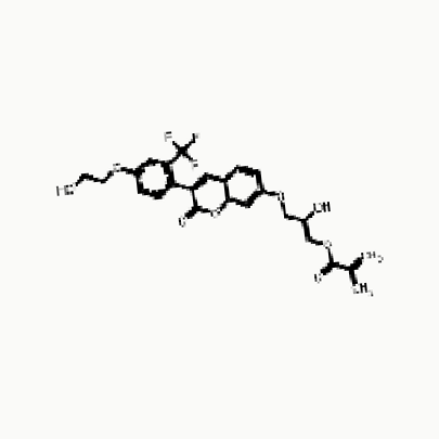 C=C(C)C(=O)OCC(O)COC1=CC2OC(=O)C(c3ccc(OCCO)cc3C(F)(F)F)=CC2C=C1